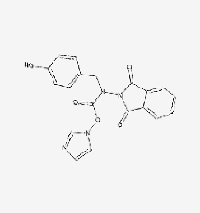 O=C(On1ccnc1)N(Cc1ccc(O)cc1)N1C(=O)c2ccccc2C1=O